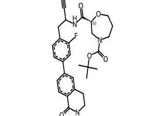 CC(C)(C)OC(=O)N1CCCO[C@H](C(=O)NC(C#N)Cc2ccc(-c3ccc4c(c3)CCNC4=O)cc2F)C1